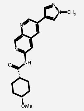 CO[C@H]1CC[C@H](C(=O)Nc2cc3cc(-c4cnn(C)c4)cnc3cn2)CC1